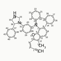 C#C/C=C\c1oc2c3c(ccc2c1C)-c1ccccc1-c1ccccc1N3c1cccc(N2CNCC2c2ccccc2)c1